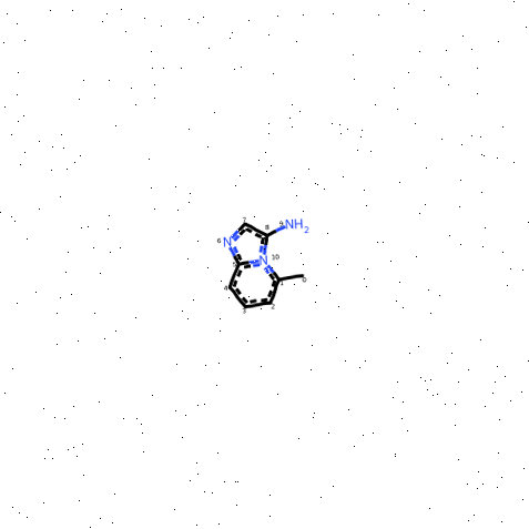 Cc1cccc2ncc(N)n12